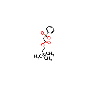 C[Si](C)(C)CCOC(=O)CS(=O)(=O)c1ccccc1